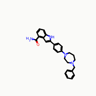 NC(=O)c1cccc2[nH]c(-c3ccc(N4CCCN(Cc5ccccc5)CC4)cc3)cc12